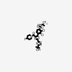 C[C@H](NS(=O)(=O)c1ccc(-c2sc(-c3noc(C(C)(C)O)n3)nc2C(=O)N2CCC(F)CC2)c(Cl)c1Cl)C(F)(F)F